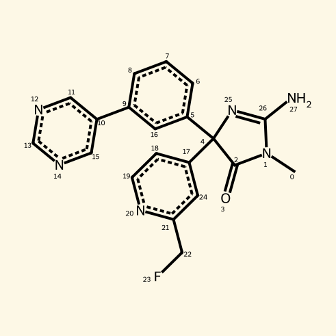 CN1C(=O)C(c2cccc(-c3cncnc3)c2)(c2ccnc(CF)c2)N=C1N